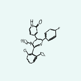 O=c1cc(-c2c(-c3ccc(F)cc3)nc(-c3c(Cl)cccc3Cl)n2O)cc[nH]1